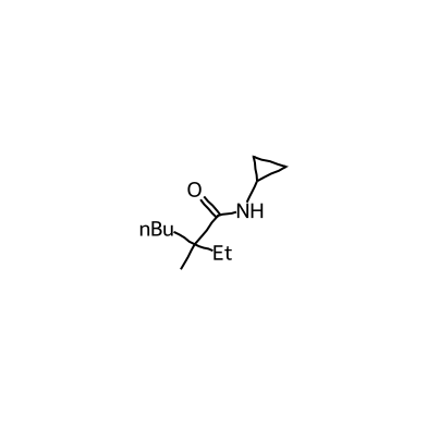 CCCCC(C)(CC)C(=O)NC1CC1